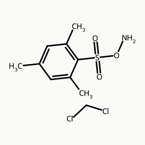 Cc1cc(C)c(S(=O)(=O)ON)c(C)c1.ClCCl